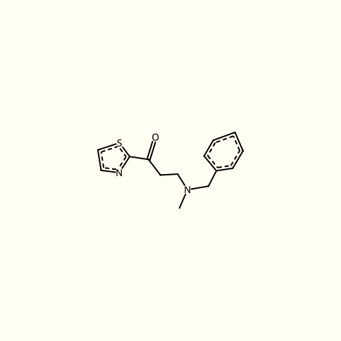 CN(CCC(=O)c1nccs1)Cc1ccccc1